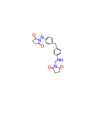 CN(c1ccc(Cc2ccc(NCN3C(=O)CCC3=O)cc2)cc1)N1C(=O)CCC1=O